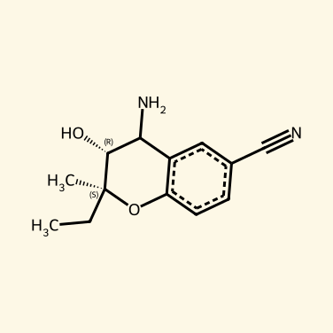 CC[C@]1(C)Oc2ccc(C#N)cc2C(N)[C@H]1O